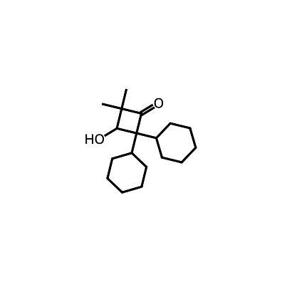 CC1(C)C(=O)C(C2CCCCC2)(C2CCCCC2)C1O